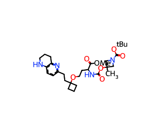 COC(=O)C(CCOC1(CCc2ccc3c(n2)CCCN3)CCC1)NC(=O)OC1(C)CN(C(=O)OC(C)(C)C)C1